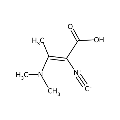 [C-]#[N+]C(C(=O)O)=C(C)N(C)C